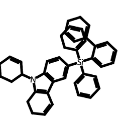 C1=CCCC([Si](c2ccccc2)(c2ccc3c(c2)c2c(n3C3C=CCCC3)CCC=C2)c2ccccc2C2=CCCC=C2)=C1